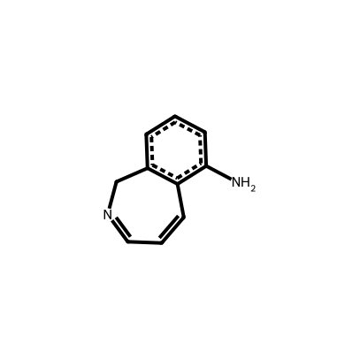 Nc1cccc2c1C=CC=NC2